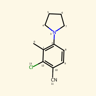 Cc1c(N2CCCC2)ccc(C#N)c1Cl